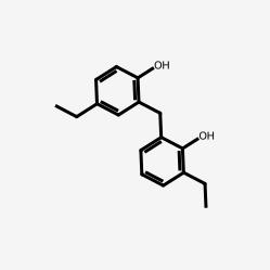 CCc1ccc(O)c(Cc2cccc(CC)c2O)c1